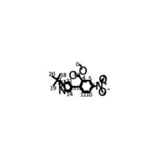 COC(=O)c1cc([N+](=O)[O-])ccc1-c1cnn(C(C)(C)C)c1